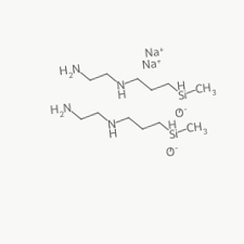 C[SiH]([O-])CCCNCCN.C[SiH]([O-])CCCNCCN.[Na+].[Na+]